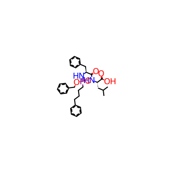 CC(C)C[C@H](NC(=O)[C@H](Cc1ccccc1)NP(=O)(CCCCc1ccccc1)OCc1ccccc1)C(=O)O